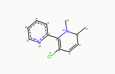 CC1C=CC(Cl)=C(c2ccccn2)N1C